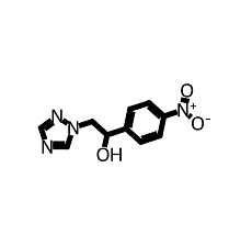 O=[N+]([O-])c1ccc(C(O)Cn2cncn2)cc1